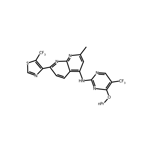 CCCOc1nc(Nc2cc(C)nc3nc(-c4ncsc4C(F)(F)F)ccc23)ncc1C(F)(F)F